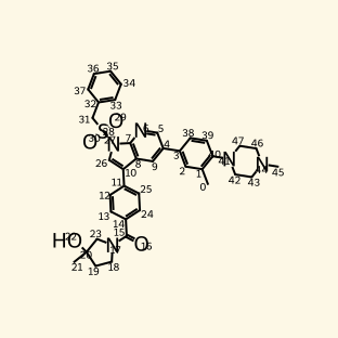 Cc1cc(-c2cnc3c(c2)c(-c2ccc(C(=O)N4CCC(C)(O)C4)cc2)cn3S(=O)(=O)Cc2ccccc2)ccc1N1CCN(C)CC1